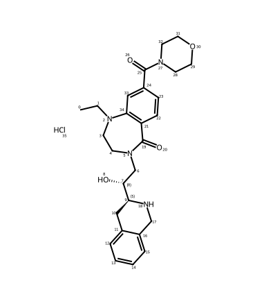 CCN1CCN(C[C@@H](O)[C@@H]2Cc3ccccc3CN2)C(=O)c2ccc(C(=O)N3CCOCC3)cc21.Cl